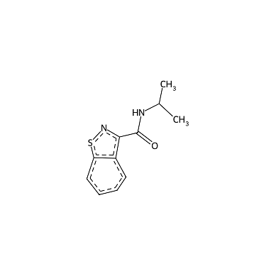 CC(C)NC(=O)c1nsc2ccccc12